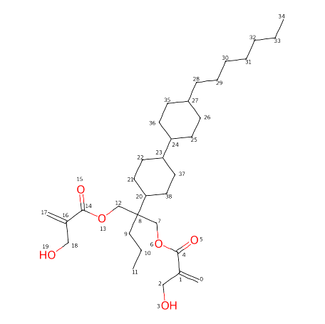 C=C(CO)C(=O)OCC(CCC)(COC(=O)C(=C)CO)C1CCC(C2CCC(CCCCCCC)CC2)CC1